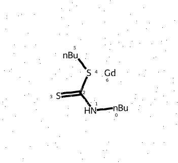 CCCCNC(=S)SCCCC.[Gd]